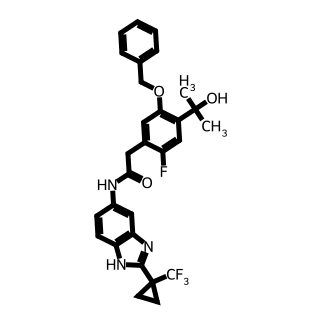 CC(C)(O)c1cc(F)c(CC(=O)Nc2ccc3[nH]c(C4(C(F)(F)F)CC4)nc3c2)cc1OCc1ccccc1